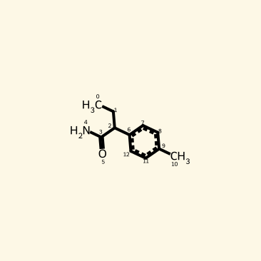 CCC(C(N)=O)c1ccc(C)cc1